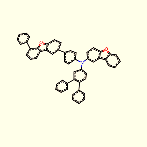 c1ccc(-c2ccc(N(c3ccc(-c4ccc5oc6c(-c7ccccc7)cccc6c5c4)cc3)c3ccc4oc5ccccc5c4c3)cc2-c2ccccc2)cc1